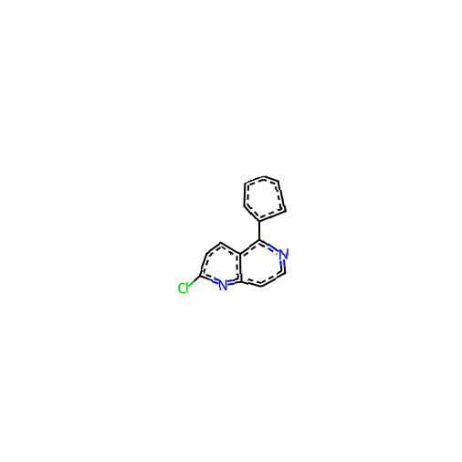 Clc1ccc2c(-c3ccccc3)nccc2n1